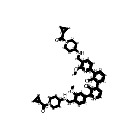 COc1cc(-c2nccc(-c3cccc(-c4ccc(CNC5CCN(C(=O)C6CC6)CC5)c(OC)n4)c3Cl)c2Cl)ccc1CNC1CCN(C(=O)C2CC2)CC1